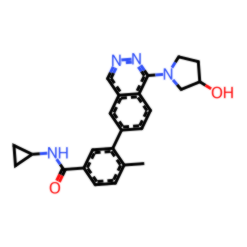 Cc1ccc(C(=O)NC2CC2)cc1-c1ccc2c(N3CCC(O)C3)nncc2c1